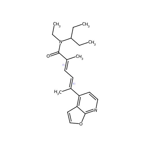 CCC(CC)N(CC)C(=O)/C(C)=C/C=C(\C)c1ccnc2occc12